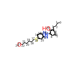 CCCCc1cc(C)cc(-n2nc3ccc(SCCCCCCOC)cc3n2)c1O